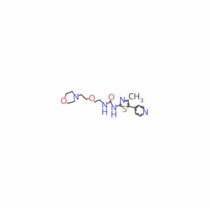 Cc1nc(NC(=O)NCCOCCN2CCOCC2)sc1-c1ccncc1